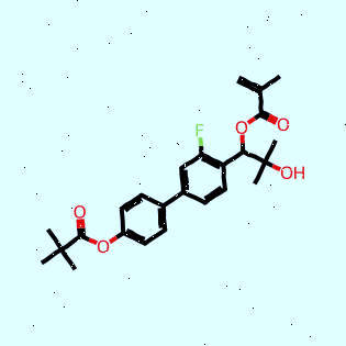 C=C(C)C(=O)OC(c1ccc(-c2ccc(OC(=O)C(C)(C)C)cc2)cc1F)C(C)(C)O